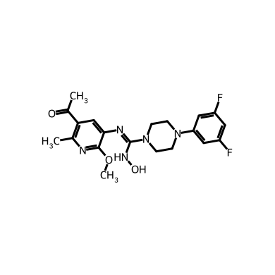 COc1nc(C)c(C(C)=O)cc1N=C(NO)N1CCN(c2cc(F)cc(F)c2)CC1